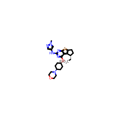 CCOC(=O)C[C@H]1CCc2sc3nc(Nc4cnn(C)c4)nc(O[C@H]4CC[C@H](N5CCOCC5)CC4)c3c21